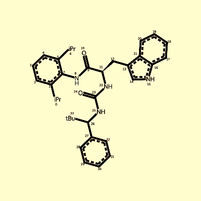 CC(C)c1cccc(C(C)C)c1NC(=O)[C@@H](Cc1c[nH]c2ccccc12)NC(=O)NC(c1ccccc1)C(C)(C)C